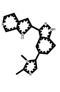 Cc1ncc(-c2ccc3[nH]nc(-c4cc5ccncc5[nH]4)c3c2)n1C